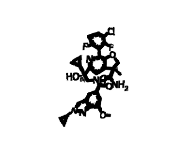 COc1cc(C(=O)NC[C@](O)(c2cc3c(c(-c4c(F)ccc(Cl)c4F)n2)OC[C@]3(C)C(N)=O)C2CC2)cc2cn(C3CC3)nc12